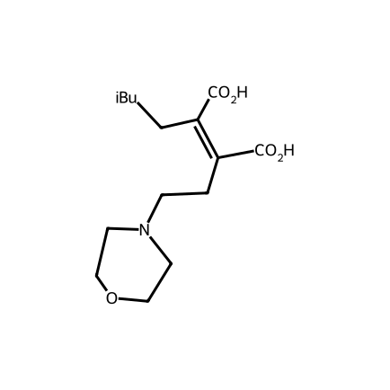 CCC(C)CC(C(=O)O)=C(CCN1CCOCC1)C(=O)O